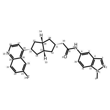 Cn1ncc2cc(NC(=O)C[C@@H]3C[C@@H]4C[C@H](c5ccnc6ccc(F)cc56)C[C@@H]4C3)ccc21